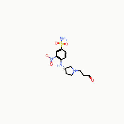 NS(=O)(=O)c1ccc(N[C@H]2CCN(CCC=O)C2)c([N+](=O)[O-])c1